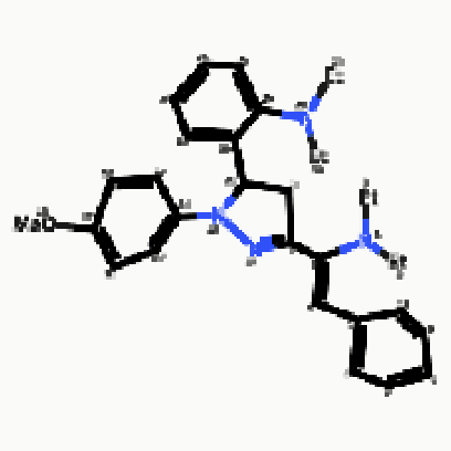 CCN(CC)C(=Cc1ccccc1)C1=NN(c2ccc(OC)cc2)C(c2ccccc2N(CC)CC)C1